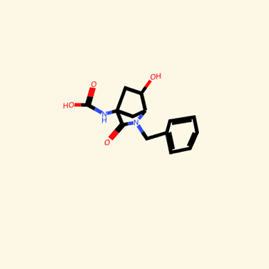 O=C(O)NC12CC(O)C(C1)N(Cc1ccccc1)C2=O